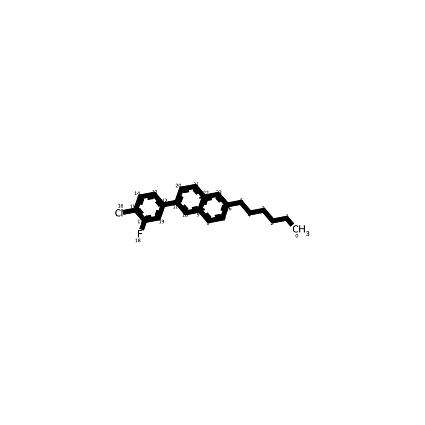 CCCCCCc1ccc2cc(-c3ccc(Cl)c(F)c3)ccc2c1